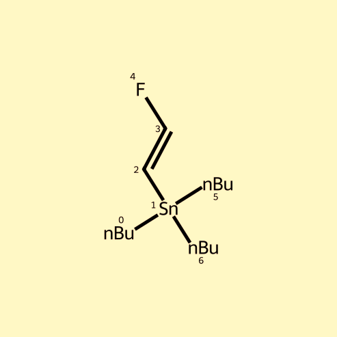 CCC[CH2][Sn]([CH]=CF)([CH2]CCC)[CH2]CCC